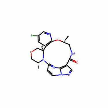 C[C@@H]1COC[C@@H]2c3cc(F)cnc3O[C@@H](C)CNC(=O)c3cnn4ccc(nc34)N12